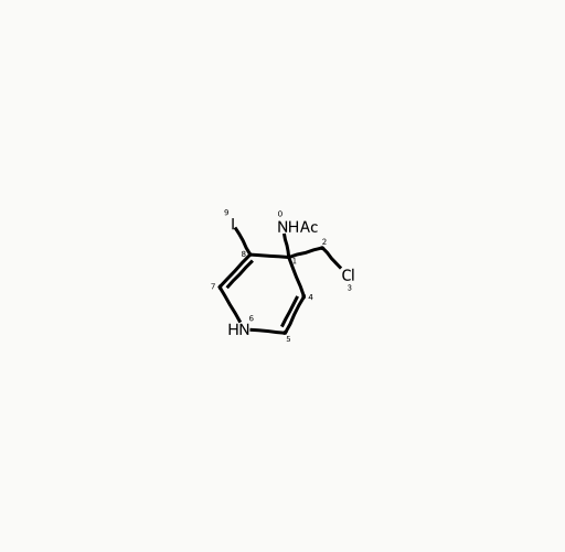 CC(=O)NC1(CCl)C=CNC=C1I